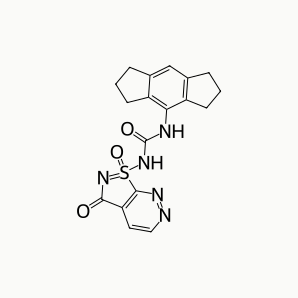 O=C(Nc1c2c(cc3c1CCC3)CCC2)NS1(=O)=NC(=O)c2ccnnc21